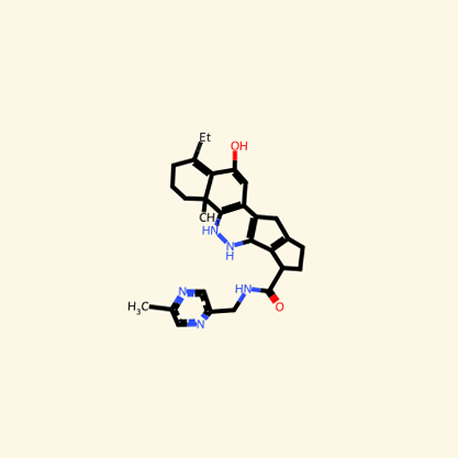 CCC1=C2C(O)=CC3=C(NNC4=C3CC3=C4C(C(=O)NCc4cnc(C)cn4)CC3)C2(C)CCC1